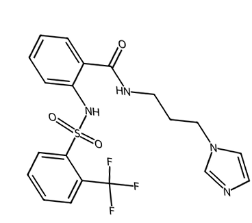 O=C(NCCCn1ccnc1)c1ccccc1NS(=O)(=O)c1ccccc1C(F)(F)F